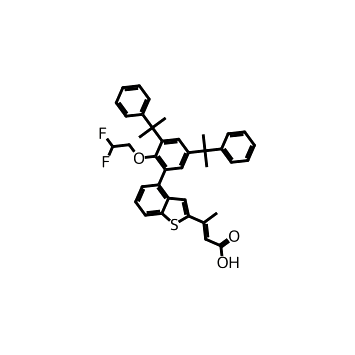 C/C(=C\C(=O)O)c1cc2c(-c3cc(C(C)(C)c4ccccc4)cc(C(C)(C)c4ccccc4)c3OCC(F)F)cccc2s1